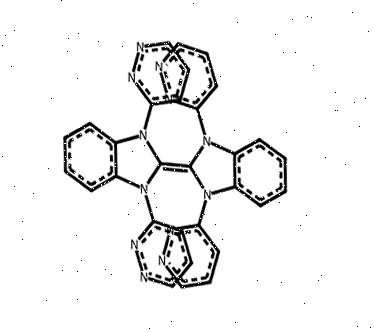 c1cnnc(N2C(=C3N(c4cccnn4)c4ccccc4N3c3cccnn3)N(c3cccnn3)c3ccccc32)c1